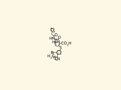 Cn1ccnc1-c1ccc(SC2=C(C(=O)O)N3C(=O)[C@@H](NC(=O)Cc4cccs4)[C@H]3SC2)cc1Br